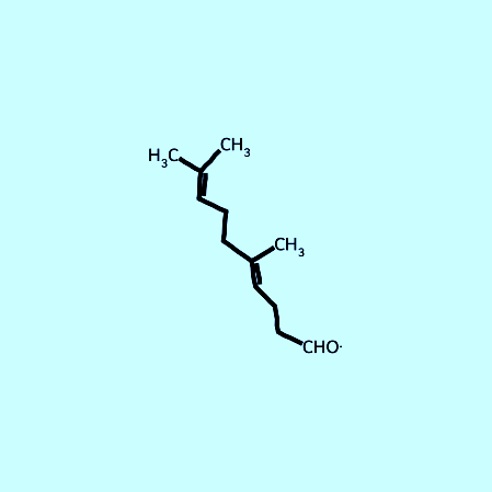 CC(C)=CCC/C(C)=C/CC[C]=O